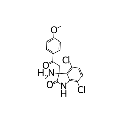 COc1ccc(C(=O)CC2(N)C(=O)Nc3c(Cl)ccc(Cl)c32)cc1